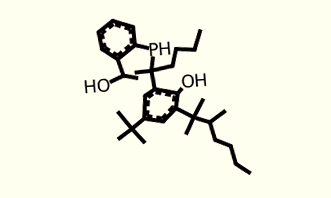 CCCCC(C)C(C)(C)c1cc(C(C)(C)C)cc(C(C)(CCCC)Pc2ccccc2C(C)O)c1O